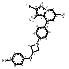 CCc1ccc(OC2CN(c3ccc(-c4cc(O)cn5nc(F)c(C#N)c45)cn3)C2)cc1